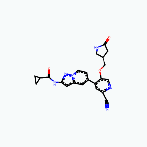 N#Cc1cc(-c2ccn3nc(NC(=O)C4CC4)cc3c2)c(OC[C@H]2CNC(=O)C2)cn1